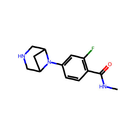 CNC(=O)c1ccc(N2C3CNCC2C3)cc1F